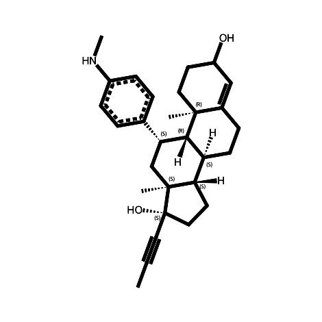 CC#C[C@]1(O)CC[C@H]2[C@@H]3CCC4=CC(O)CC[C@]4(C)[C@H]3[C@@H](c3ccc(NC)cc3)C[C@@]21C